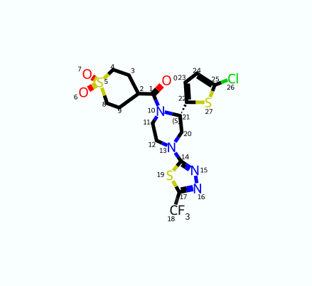 O=C(C1CCS(=O)(=O)CC1)N1CCN(c2nnc(C(F)(F)F)s2)C[C@H]1c1ccc(Cl)s1